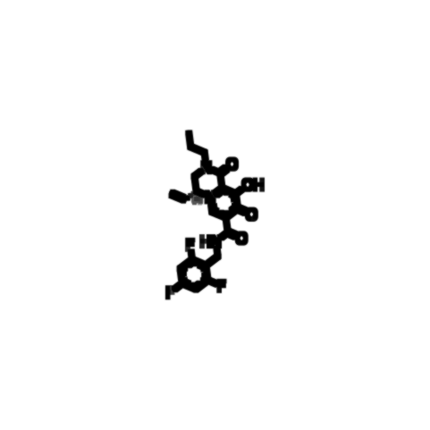 C=C[C@@H]1CN(CCC)C(=O)c2c(O)c(=O)c(C(=O)NCc3c(F)cc(F)cc3F)cn21